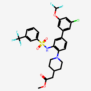 COC(=O)CC1CCN(c2ccc(-c3cc(Cl)cc(OC(F)F)c3)cc2NS(=O)(=O)c2cccc(C(F)(F)F)c2)CC1